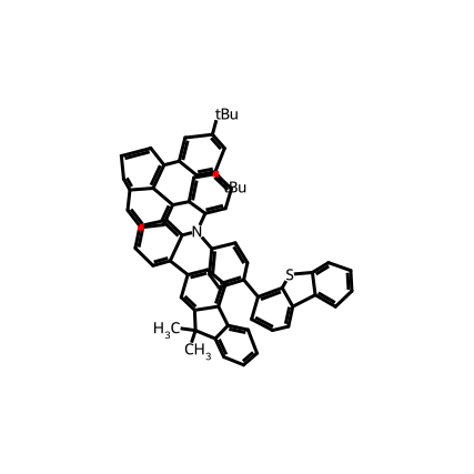 CC(C)(C)c1cc(-c2cccc3cccc(-c4ccccc4N(c4ccc(-c5cccc6c5sc5ccccc56)cc4)c4ccccc4-c4ccc5c(c4)C(C)(C)c4ccccc4-5)c23)cc(C(C)(C)C)c1